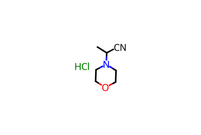 CC(C#N)N1CCOCC1.Cl